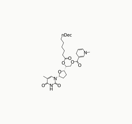 CCCCCCCCCCCCCCCC(=O)OC(COC(=O)C1=CN(C)C=CC1)[C@@H]1CC[C@H](n2cc(C)c(=O)[nH]c2=O)O1